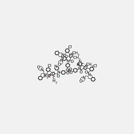 Cc1c(C(=O)N(c2ccncc2)c2ccc(OP(=O)(Oc3ccc(N(C(=O)c4cc(-c5cc(Cl)ccc5C(=O)N5Cc6ccccc6C[C@H]5CN5CCOCC5)n(C)c4C)c4ccncc4)cc3)Oc3ccc(N(C(=O)c4cc(-c5cc(Cl)ccc5C(=O)N5Cc6ccccc6C[C@H]5CN5CCOCC5)n(C)c4C)c4ccncc4)cc3)cc2)cc(-c2cc(Cl)ccc2C(=O)N2Cc3ccccc3C[C@H]2CN2CCOCC2)n1C